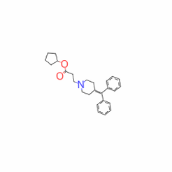 O=C(CCN1CCC(=C(c2ccccc2)c2ccccc2)CC1)OC1CCCC1